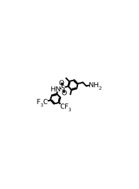 Cc1cc(CCN)cc(C)c1S(=O)(=O)Nc1cc(C(F)(F)F)cc(C(F)(F)F)c1